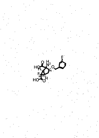 N[C@]1(C(=O)O)[C@H]2[C@@H](C[C@H]1OCc1cccc(F)c1)[C@]2(F)C(=O)O